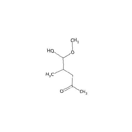 COC(O)C(C)CC(C)=O